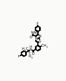 CNC(=O)c1c(-c2ccc(F)cc2)nc2sc(-c3cc(C(=O)NC(C)(C)c4ccc(F)cc4)ccc3C)cn12